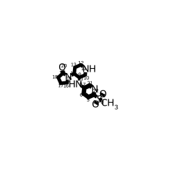 CS(=O)(=O)c1ccc(N[C@@H]2CNCCC2N2CCCC2=O)cn1